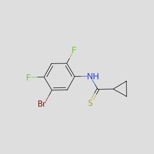 Fc1cc(F)c(NC(=S)C2CC2)cc1Br